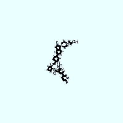 Nc1ncc(-c2ccc(F)nc2)cc1C(=O)N[C@H]1CCC[C@@H]1OCc1ccc(-c2ccc3c(c2)C[C@H](F)[C@@H]3N2CCN(CCO)CC2)cc1